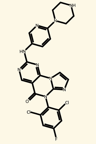 O=c1c2cnc(Nc3ccc(N4CCNCC4)nc3)nc2n2ccnc2n1-c1c(Cl)cc(F)cc1Cl